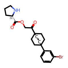 O=C(OCC(=O)C12CCC(c3cccc(Br)c3)(CC1)CC2)[C@@H]1CCCN1